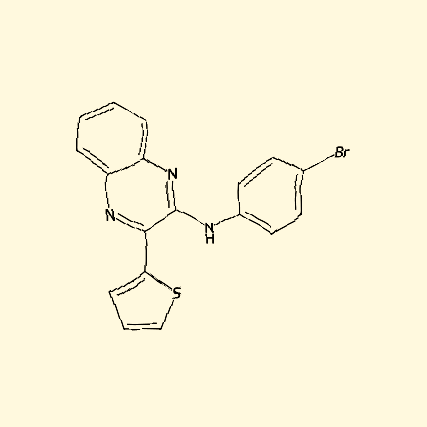 Brc1ccc(Nc2nc3ccccc3nc2-c2cccs2)cc1